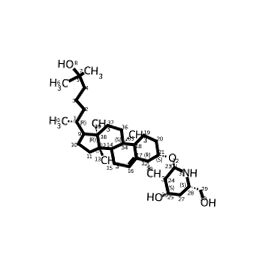 C[C@H](CCCC(C)(C)O)C1CC[C@@]2(C)C3CC=C4C(CC[C@H](O[C@H]5C[C@@H](O)C[C@@H](CO)N5)[C@@H]4C)[C@]3(C)CC[C@]12C